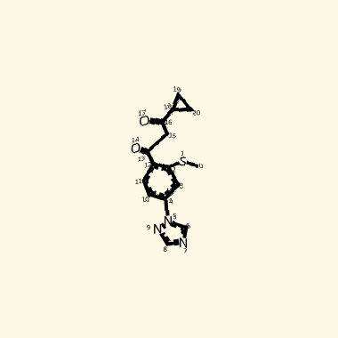 CSc1cc(-n2cncn2)ccc1C(=O)CC(=O)C1CC1